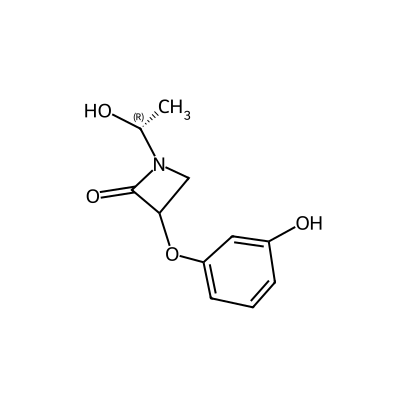 C[C@@H](O)N1CC(Oc2cccc(O)c2)C1=O